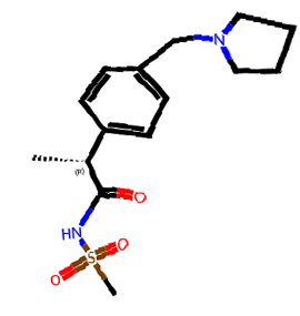 C[C@@H](C(=O)NS(C)(=O)=O)c1ccc(CN2CCCC2)cc1